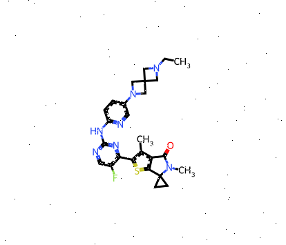 CCN1CC2(C1)CN(c1ccc(Nc3ncc(F)c(-c4sc5c(c4C)C(=O)N(C)C54CC4)n3)nc1)C2